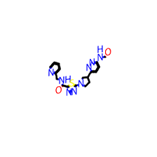 O=CNc1ccc(C2CCN(c3nnc(C(=O)NCc4ccccn4)s3)C2)nn1